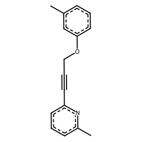 Cc1cccc(OCC#Cc2cccc(C)n2)c1